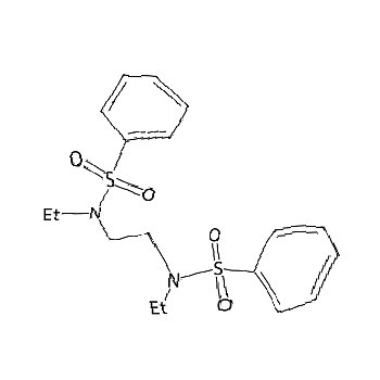 CCN(CCN(CC)S(=O)(=O)c1ccccc1)S(=O)(=O)c1ccccc1